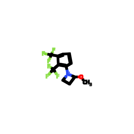 COC1CCN1c1cccc(C(F)(F)F)c1C(F)(F)F